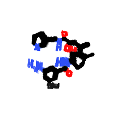 C=C(/C=C(\O)C(=O)NCc1cccnc1)c1cc(NC(=O)c2cc(N)cc(C(C)(C)C)c2)ccc1C